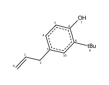 C=CCc1c[c]c(O)c(C(C)(C)C)c1